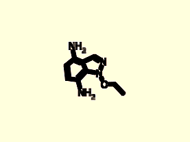 CCOn1ncc2c(N)ccc(N)c21